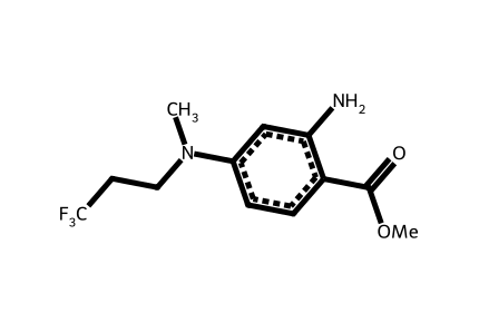 COC(=O)c1ccc(N(C)CCC(F)(F)F)cc1N